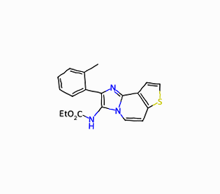 CCOC(=O)Nc1c(-c2ccccc2C)nc2c3ccsc3ccn12